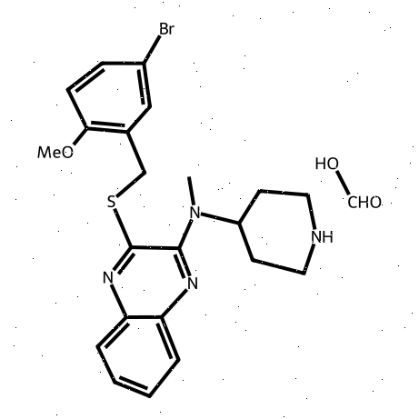 COc1ccc(Br)cc1CSc1nc2ccccc2nc1N(C)C1CCNCC1.O=CO